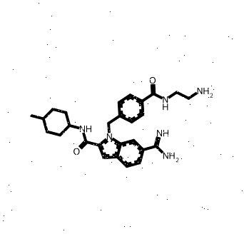 CC1CCC(NC(=O)c2cc3ccc(C(=N)N)cc3n2Cc2ccc(C(=O)NCCN)cc2)CC1